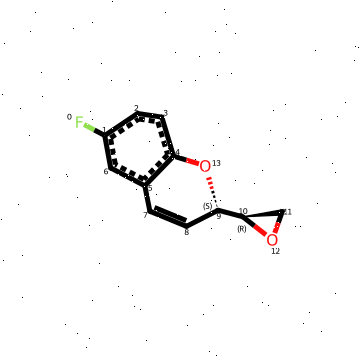 Fc1ccc2c(c1)C=C[C@@H]([C@H]1CO1)O2